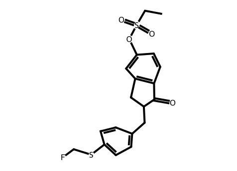 CCS(=O)(=O)Oc1ccc2c(c1)CC(Cc1ccc(SCF)cc1)C2=O